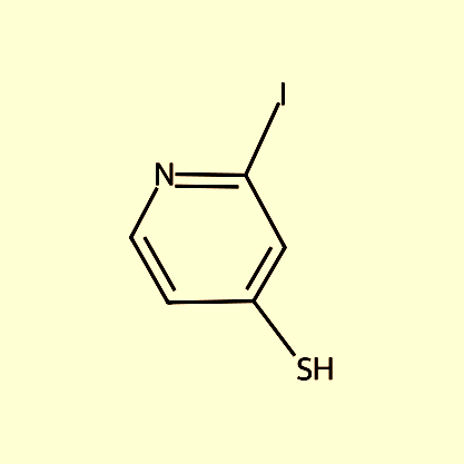 Sc1ccnc(I)c1